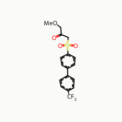 COCC(=O)CS(=O)(=O)c1ccc(-c2ccc(C(F)(F)F)cc2)cc1